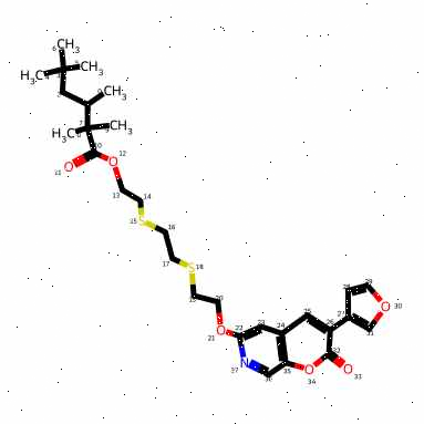 CC(CC(C)(C)C)C(C)(C)C(=O)OCCSCCSCCOc1cc2cc(-c3ccoc3)c(=O)oc2cn1